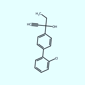 C#CC(O)(CC)c1ccc(-c2ccccc2Cl)cc1